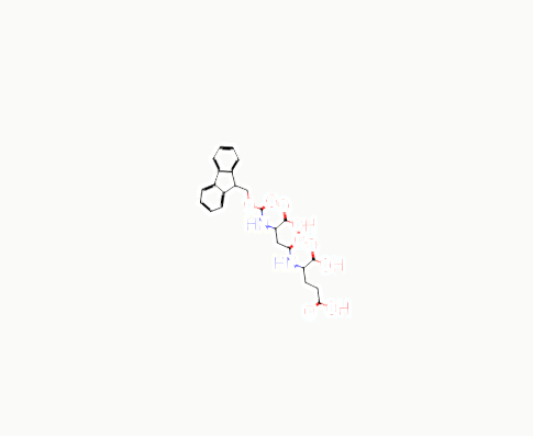 O=C(O)CCC(NC(=O)CC(NC(=O)OCC1c2ccccc2-c2ccccc21)C(=O)O)C(=O)O